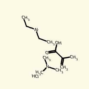 C=C(C)C(=O)O.CN(C)C.C[CH2][Al][CH2]C.Cl